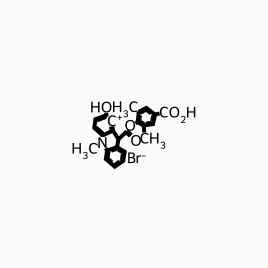 Cc1cc(C(=O)O)cc(C)c1OC(=O)C1C2=[C+]C(O)=CC=C2N(C)c2ccccc21.[Br-]